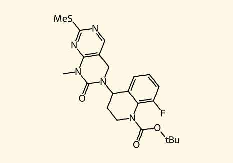 CSc1ncc2c(n1)N(C)C(=O)N(C1CCN(C(=O)OC(C)(C)C)c3c(F)cccc31)C2